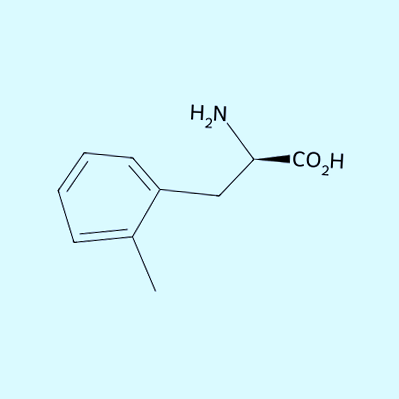 Cc1ccccc1C[C@@H](N)C(=O)O